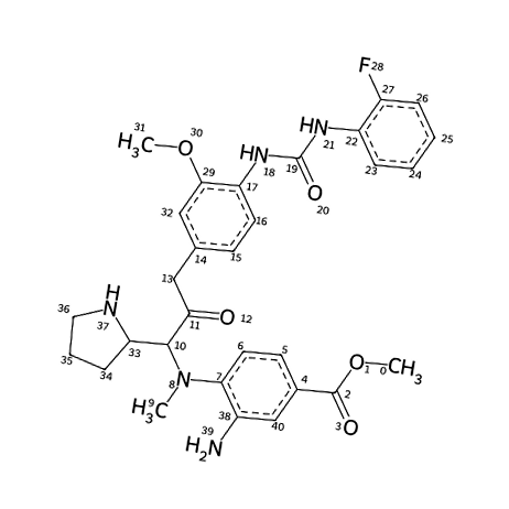 COC(=O)c1ccc(N(C)C(C(=O)Cc2ccc(NC(=O)Nc3ccccc3F)c(OC)c2)C2CCCN2)c(N)c1